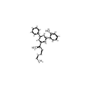 C=C(/C=C\C=C/C)c1nc(-c2ccccc2)nc(-c2ccccc2O)n1